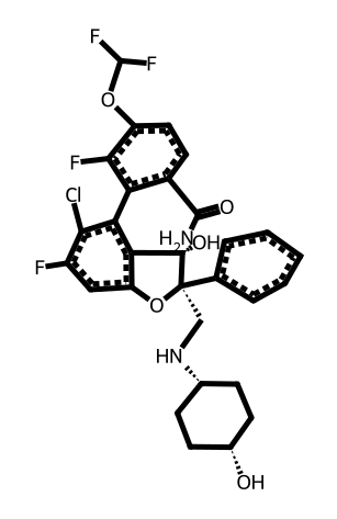 NC(=O)c1ccc(OC(F)F)c(F)c1-c1c(Cl)c(F)cc2c1[C@H](O)[C@@](CN[C@H]1CC[C@@H](O)CC1)(c1ccccc1)O2